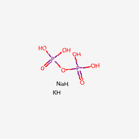 O=P(O)(O)OP(=O)(O)O.[KH].[NaH]